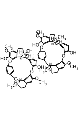 COc1cc2c3cc1Oc1cc(ccc1O)C[C@@H]1c4c(cc(OC)c(O)c4Oc4ccc(cc4)C[C@@H]3N(C)CC2)CC[N+]1(C)C.COc1cc2c3cc1Oc1cc(ccc1O)C[C@@H]1c4c(cc(OC)c(O)c4Oc4ccc(cc4)C[C@@H]3N(C)CC2)CC[N+]1(C)C